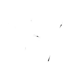 O=C1C[C@H](CI)N([C@@H]2C[C@H](I)CCC[C@H](I)C2)[C@H](I)C1